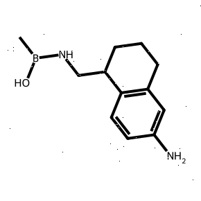 CB(O)NCC1CCCc2cc(N)ccc21